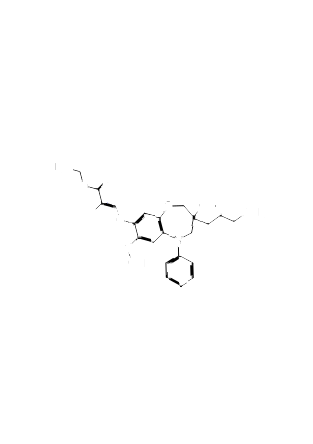 CCCCC1(C)CSc2cc(O/C=C(\F)C(=O)OCC)c(SC)cc2N(c2ccccc2)C1